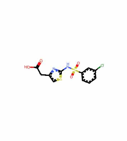 O=C(O)Cc1csc(NS(=O)(=O)c2cccc(Cl)c2)n1